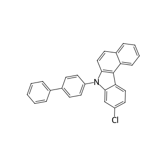 Clc1ccc2c3c4ccccc4ccc3n(-c3ccc(-c4ccccc4)cc3)c2c1